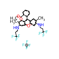 COC(=O)c1ccccc1-c1c2cc(C)c(NCCC(F)(F)F)cc2[o+]c2cc(NCCC(F)(F)F)c(C)cc12.F[B-](F)(F)F